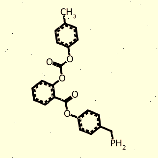 Cc1ccc(OC(=O)Oc2ccccc2C(=O)Oc2ccc(CP)cc2)cc1